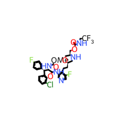 COC(=O)N[C@H](C(=O)Nc1cncc(F)c1CC[C@@H]1CN[C@H](COC(=O)NCC(F)(F)F)CO1)[C@@H](c1ccc(F)cc1)c1cccc(Cl)c1